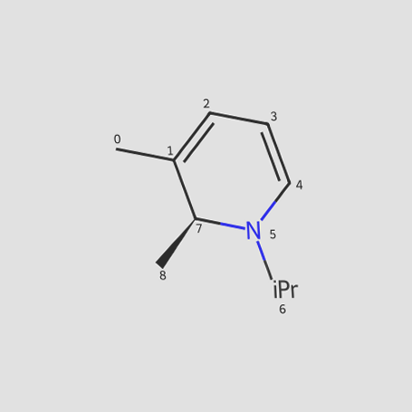 CC1=CC=CN(C(C)C)[C@H]1C